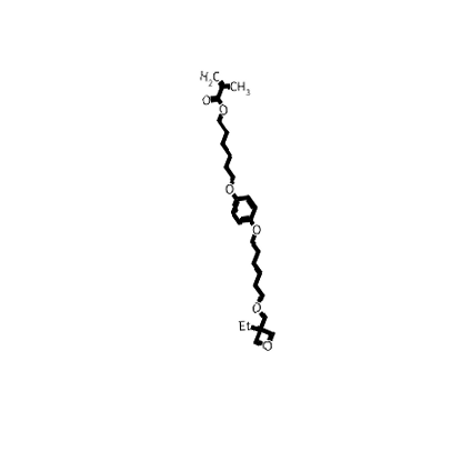 C=C(C)C(=O)OCCCCCCOc1ccc(OCCCCCCOCC2(CC)COC2)cc1